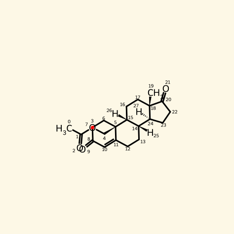 CC(=O)OC[C@]12CCC(=O)C=C1CC[C@@H]1[C@H]2CC[C@]2(C)C(=O)CC[C@@H]12